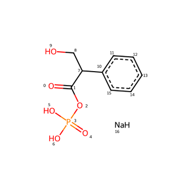 O=C(OP(=O)(O)O)C(CO)c1ccccc1.[NaH]